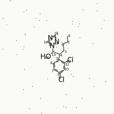 CCCCC(c1ccc(Cl)cc1Cl)C(O)n1cncn1